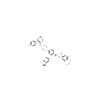 CC[C@H]1COc2cc(S(=O)(=O)NC(=O)c3ccc(N4CCN(CC5=C(c6ccc(Cl)cc6)CC(C)(C)CC5)CC4)cc3Oc3cnc4[nH]ccc4c3)cc(N=O)c2N1